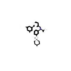 NC(=O)/C(=C/c1ccnc(-c2cc(C(F)(F)F)cc(C(F)(F)F)c2)n1)c1cccc(S(=O)(=O)N2CCC(F)CC2)c1